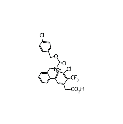 CCN(Cc1ccccc1-c1cc(Cl)c(C(F)(F)F)c(CC(=O)O)c1)C(=O)OCc1ccc(Cl)cc1